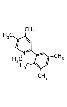 Cc1cc(C)c(C)c(-c2cc(C)c(C)c[n+]2C)c1